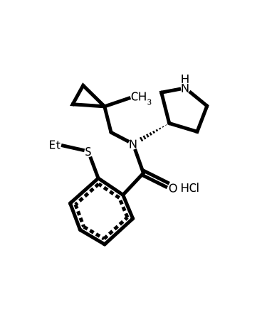 CCSc1ccccc1C(=O)N(CC1(C)CC1)[C@H]1CCNC1.Cl